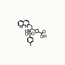 Cc1ccc(S(=O)(=O)NC(Cc2ccc3cccnc3n2)C2CC(C(=O)O)C2)cc1